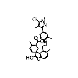 CC1=C(C(=O)O)CC(C(=O)O)(c2cccc(C)c2COc2ccc(-c3nn(C)c(Cl)c3C)cc2C)C=C1